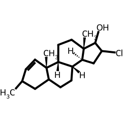 CC1C=C[C@@]2(C)C(CC[C@@H]3[C@H]2CC[C@]2(C)C(O)C(Cl)C[C@@H]32)C1